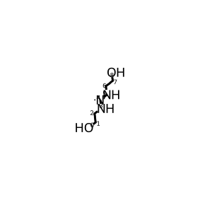 OCCN[N]NCCO